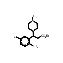 CCOC(=O)CC(c1cc(Cl)ccc1C)N1CCN(C)CC1